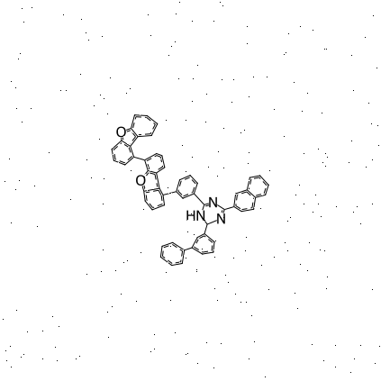 c1ccc(-c2cccc(C3N=C(c4ccc5ccccc5c4)N=C(c4cccc(-c5cccc6oc7c(-c8cccc9oc%10ccccc%10c89)cccc7c56)c4)N3)c2)cc1